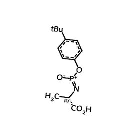 C[C@H](N=[P+]([O-])Oc1ccc(C(C)(C)C)cc1)C(=O)O